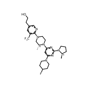 C[C@@H]1CN(c2ncc(CCO)cc2C(F)(F)F)CCN1c1cc(N2CCC(F)CC2)nc(N2CCC[C@H]2C)n1